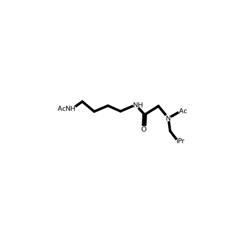 CC(=O)NCCCCNC(=O)CN(CC(C)C)C(C)=O